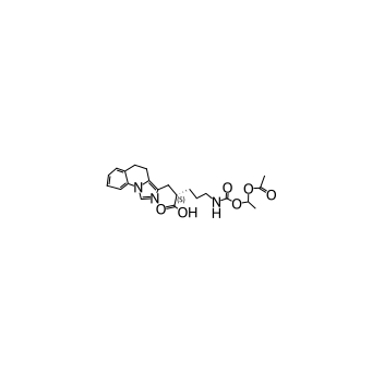 CC(=O)OC(C)OC(=O)NCCC[C@@H](Cc1ncn2c1CCc1ccccc1-2)C(=O)O